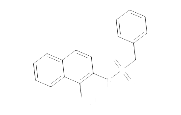 O=C(O)c1c(NS(=O)(=O)Cc2ccccc2)ccc2ccccc12